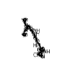 CC1(CCNCCOCCOCCNC[C@@H](O)COc2ccc(OCCc3ccccc3)c(OCCc3ccccc3)c2)OC(O)N(c2cc(Cl)cc(Cl)c2)C1=O